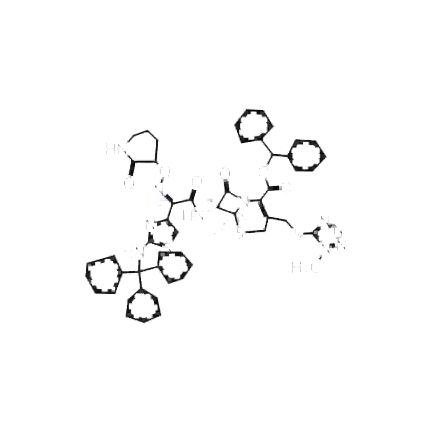 Cn1nnnc1SCC1=C(C(=O)OC(c2ccccc2)c2ccccc2)N2C(=O)[C@@H](NC(=O)/C(=N\OC3CCCNC3=O)c3csc(NC(c4ccccc4)(c4ccccc4)c4ccccc4)n3)[C@@H]2SC1